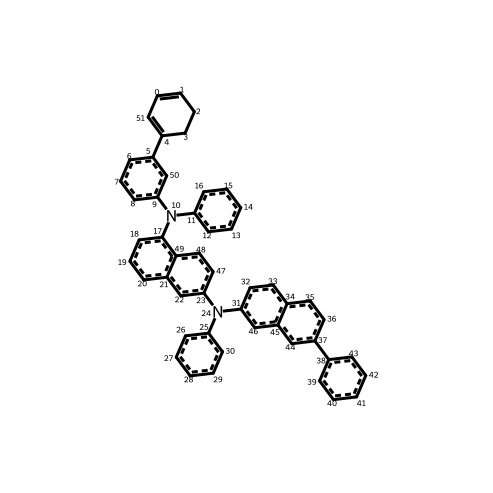 C1=CCCC(c2cccc(N(c3ccccc3)c3cccc4cc(N(c5ccccc5)c5ccc6ccc(-c7ccccc7)cc6c5)ccc34)c2)=C1